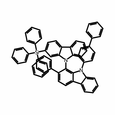 c1ccc(-c2ccc(-n3c4ccccc4c4ccc(-c5ccccc5)c(-n5c6ccccc6c6ccc([Si](c7ccccc7)(c7ccccc7)c7ccccc7)cc65)c43)cc2)cc1